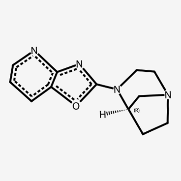 c1cnc2nc(N3CCN4CC[C@@H]3C4)oc2c1